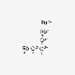 [O-2].[O-2].[O-2].[Rb+].[Rb+].[Ru+4]